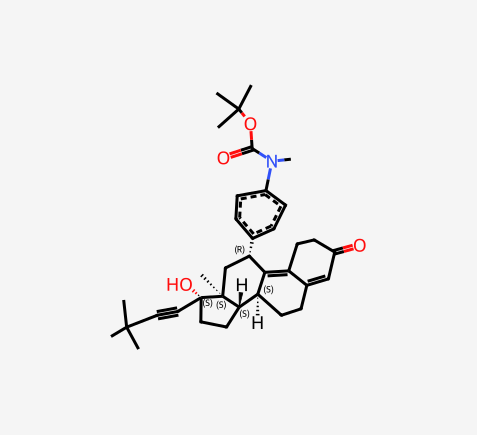 CN(C(=O)OC(C)(C)C)c1ccc([C@H]2C[C@@]3(C)[C@@H](CC[C@@]3(O)C#CC(C)(C)C)[C@@H]3CCC4=CC(=O)CCC4=C32)cc1